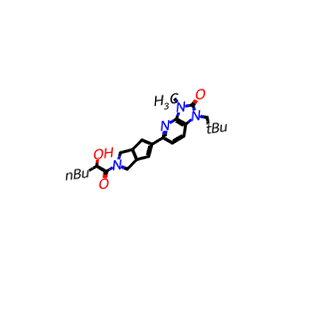 CCCCC(O)C(=O)N1CC2C=C(c3ccc4c(n3)n(C)c(=O)n4CC(C)(C)C)CC2C1